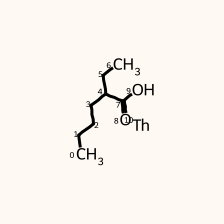 CCCCC(CC)C(=O)O.[Th]